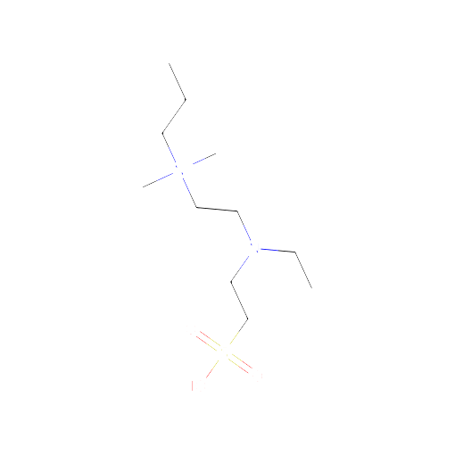 CCC[N+](C)(C)CCN(CC)CCS(=O)(=O)O